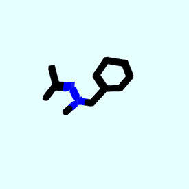 CC(C)=NN(C)CC1CCCCC1